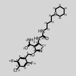 NC(=O)c1c(OCc2cc(F)c(Cl)cc2F)nsc1NC(=O)NCCCCN1CCCCC1